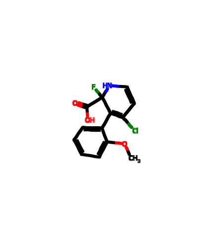 COc1ccccc1C1=C(Cl)C=CNC1(F)C(=O)O